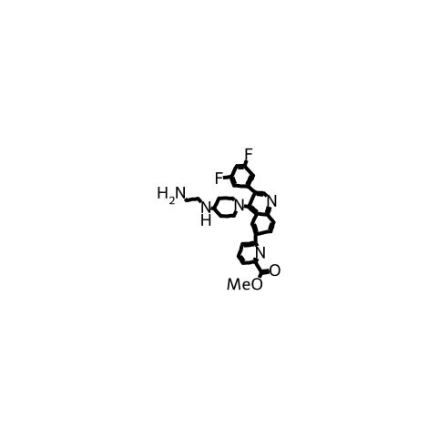 COC(=O)c1cccc(-c2ccc3ncc(-c4cc(F)cc(F)c4)c(N4CCC(NCCN)CC4)c3c2)n1